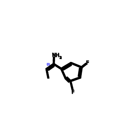 C/C=C(/N)c1cc(F)cc(F)c1